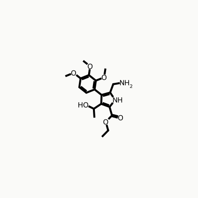 CCOC(=O)c1[nH]c(CN)c(-c2ccc(OC)c(OC)c2OC)c1C(C)O